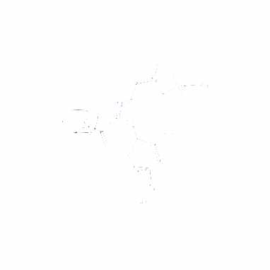 CN(CC(C)(C)O)C(=O)c1nc(C(=O)N2C3CCC2CC3)c(-c2cnc(NC(C)(C)C)cc2C(F)(F)F)s1